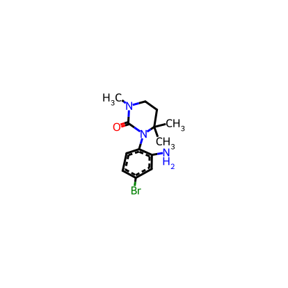 CN1CCC(C)(C)N(c2ccc(Br)cc2N)C1=O